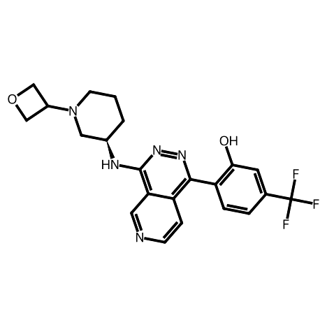 Oc1cc(C(F)(F)F)ccc1-c1nnc(N[C@@H]2CCCN(C3COC3)C2)c2cnccc12